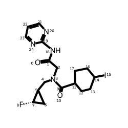 O=C(CN(CC1C[C@@H]1F)C(=O)C1CCC(I)CC1)Nc1ncccn1